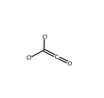 O=C=C(Cl)Cl